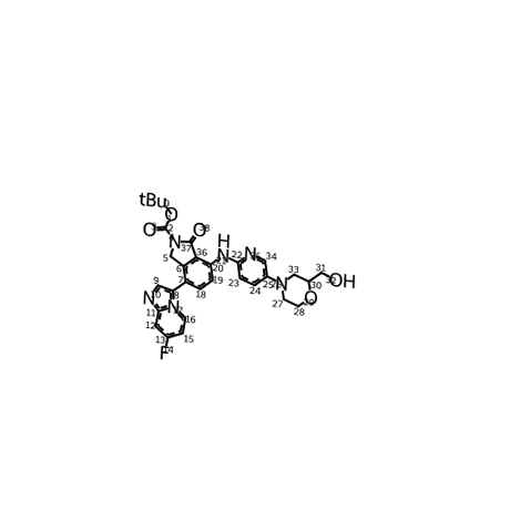 CC(C)(C)OC(=O)N1Cc2c(-c3cnc4cc(F)ccn34)ccc(Nc3ccc(N4CCOC(CO)C4)cn3)c2C1=O